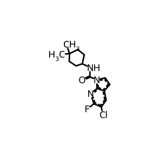 CC1(C)CCC(NC(=O)n2ccc3cc(Cl)c(F)nc32)CC1